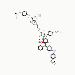 CC(=O)NCc1ccc(COc2nc(N)nc3c2ncn3CCCNC(=O)C2CCN(S(=O)(=O)c3ccccc3-c3c4cc/c(=[N+](/C)c5ccc(S(=O)(=O)O)cc5)cc-4oc4cc(N(C)c5ccc(SOOO)cc5)ccc34)CC2)cc1